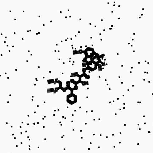 COc1ccc2c3c1O[C@@H]1C(OC(=O)[C@H](O)[C@@H](O)C(=O)O[C@H](C(=O)O[C@H](CC(=O)O)C(=O)O)c4ccccc4)=CC[C@]4(O)[C@H](C2)N(C)CC[C@@]314